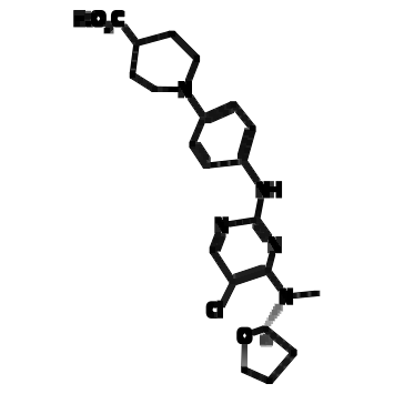 CCOC(=O)C1CCN(c2ccc(Nc3ncc(Cl)c(N(C)[C@@H]4CCCO4)n3)cc2)CC1